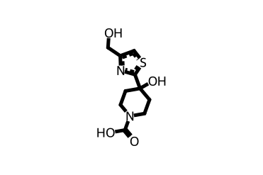 O=C(O)N1CCC(O)(c2nc(CO)cs2)CC1